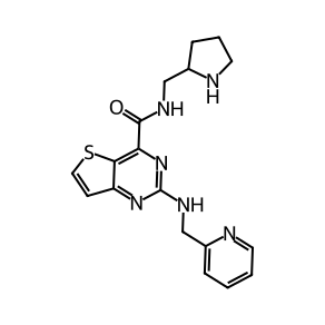 O=C(NCC1CCCN1)c1nc(NCc2ccccn2)nc2ccsc12